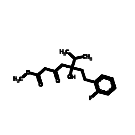 COC(=O)CC(=O)CC(O)(CCc1ccccc1F)C(C)C